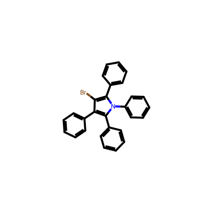 Brc1c(-c2ccccc2)c(-c2ccccc2)n(-c2ccccc2)c1-c1ccccc1